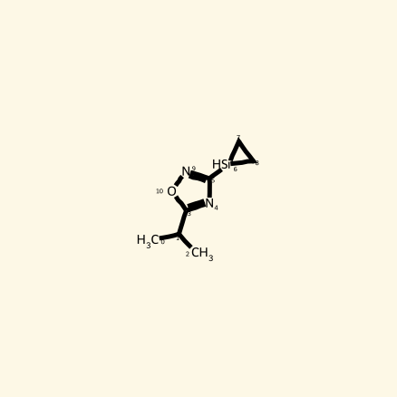 CC(C)c1nc([SiH]2CC2)no1